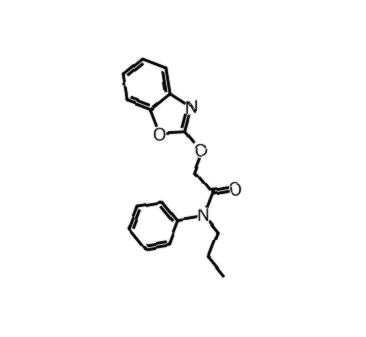 CCCN(C(=O)COc1nc2ccccc2o1)c1ccccc1